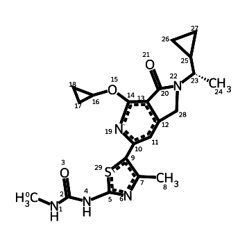 CNC(=O)Nc1nc(C)c(-c2cc3c(c(OC4CC4)n2)C(=O)N([C@@H](C)C2CC2)C3)s1